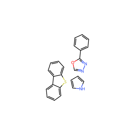 c1cc[nH]c1.c1ccc(-c2nnco2)cc1.c1ccc2c(c1)sc1ccccc12